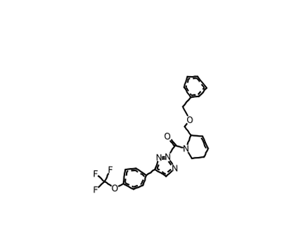 O=C(N1CCC=CC1COCc1ccccc1)n1ncc(-c2ccc(OC(F)(F)F)cc2)n1